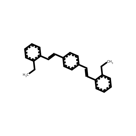 CCc1ccccc1C=Cc1ccc(C=Cc2ccccc2CC)cc1